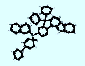 CC1(N(c2ccc3c(c2)C(c2ccccc2)(c2ccccc2)c2ccc4c(oc5ccccc54)c2-3)c2ccc3ccccc3c2)C=CC(c2ccccc2)=CC1